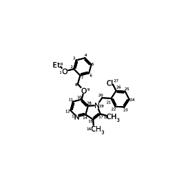 CCOc1ccccc1COc1ccnc2c(C)c(C)n(Cc3ccccc3Cl)c12